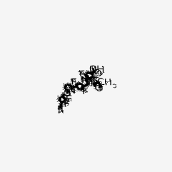 CC1(C)COC[C@H]1n1c(Cc2cc(F)c(-c3cccc(OCc4ccc(C#N)c(F)c4F)n3)cc2F)nc2c(F)cc(C(=O)O)cc21